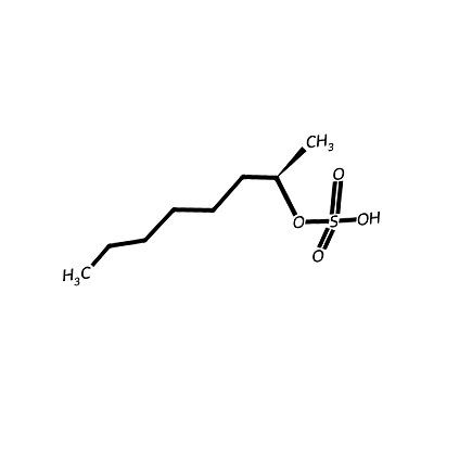 CCCCCC[C@@H](C)OS(=O)(=O)O